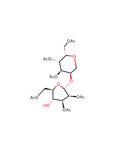 CC(=O)OC[C@@H]1OC[C@@H](O[C@H]2O[C@H](COC(C)=O)[C@@H](O)[C@H](OC(C)=O)[C@@H]2OC(C)=O)[C@@H](OC(C)=O)[C@@H]1OC(C)=O